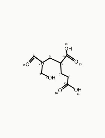 O=CN(CO)CC(CCC(=O)O)C(=O)O